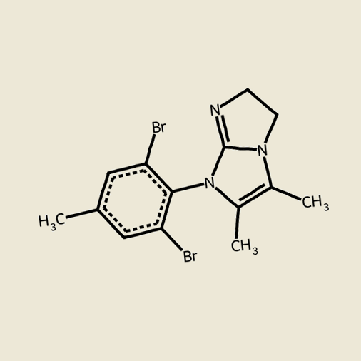 CC1=C(C)N(c2c(Br)cc(C)cc2Br)C2=NCCN21